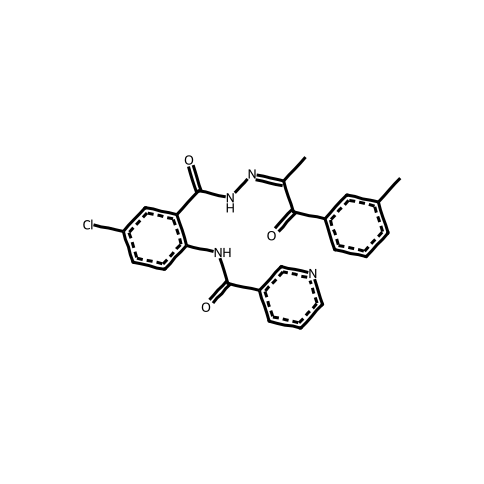 C/C(=N/NC(=O)c1cc(Cl)ccc1NC(=O)c1cccnc1)C(=O)c1cccc(C)c1